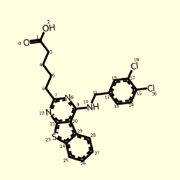 O=C(O)CCCCc1nc(NCc2ccc(Cl)c(Cl)c2)c2c(n1)sc1ccccc12